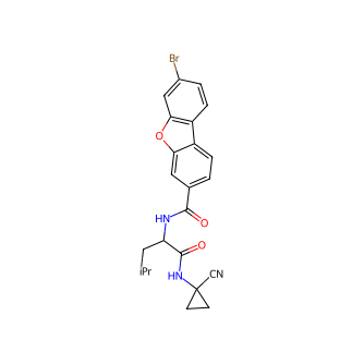 CC(C)CC(NC(=O)c1ccc2c(c1)oc1cc(Br)ccc12)C(=O)NC1(C#N)CC1